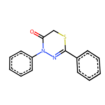 O=C1CSC(c2ccccc2)=NN1c1ccccc1